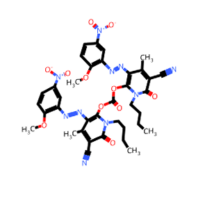 CCCCn1c(OC(=O)Oc2c(N=Nc3cc([N+](=O)[O-])ccc3OC)c(C)c(C#N)c(=O)n2CCCC)c(N=Nc2cc([N+](=O)[O-])ccc2OC)c(C)c(C#N)c1=O